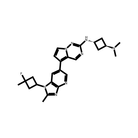 Cc1nc2ncc(-c3ccn4nc(N[C@H]5C[C@H](N(C)C)C5)ncc34)cc2n1C1CC(C)(F)C1